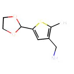 Cc1sc(C2OCCO2)cc1CN